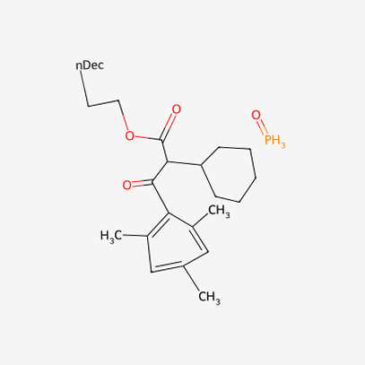 CCCCCCCCCCCCOC(=O)C(C(=O)c1c(C)cc(C)cc1C)C1CCCCC1.O=[PH3]